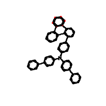 c1ccc(-c2ccc(N(c3ccc(-c4ccccc4)cc3)c3ccc(-c4cccc(-c5ccccc5)c4-c4ccccc4-c4ccccc4)cc3)cc2)cc1